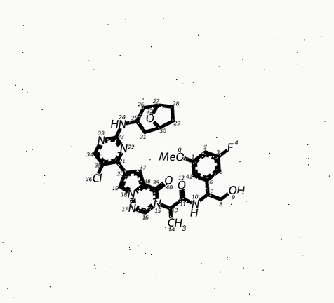 COc1cc(F)cc(C(CO)NC(=O)C(C)n2cnn3cc(-c4nc(NC5CC6CCC(C5)O6)ncc4Cl)cc3c2=O)c1